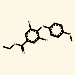 CCOC(=O)c1cc(Cl)c(Oc2ccc(OC)cc2)c(Cl)c1